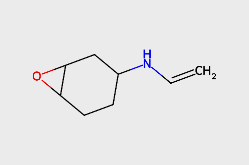 C=CNC1CCC2OC2C1